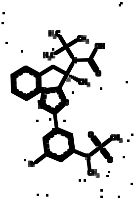 CN(c1cc(Br)cc(-c2nnc([C@@](C)(Cc3ccccc3)N(C(=O)O)C(C)(C)C)o2)c1)S(C)(=O)=O